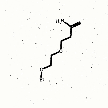 C=C(N)CCOCCOCC